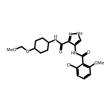 COCOC1CCC(NC(=O)c2n[nH]cc2NC(=O)c2c(Cl)cccc2OC)CC1